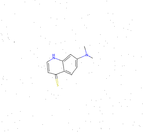 CN(C)c1ccc2c(=S)cc[nH]c2c1